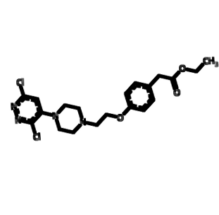 CCOC(=O)Cc1ccc(OCCN2CCN(c3cc(Cl)nnc3Cl)CC2)cc1